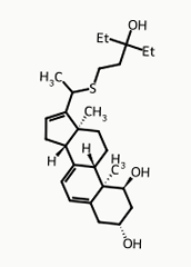 CCC(O)(CC)CCSC(C)C1=CC[C@H]2C3=CC=C4C[C@@H](O)C[C@H](O)[C@]4(C)[C@H]3CC[C@]12C